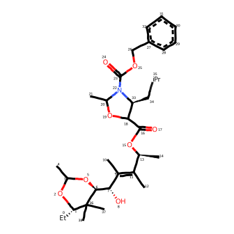 CC[C@@H]1OC(C)O[C@@H]([C@@H](O)/C(C)=C(\C)[C@H](C)OC(=O)C2OC(C)N(C(=O)OCc3ccccc3)[C@H]2CC(C)C)C1(C)C